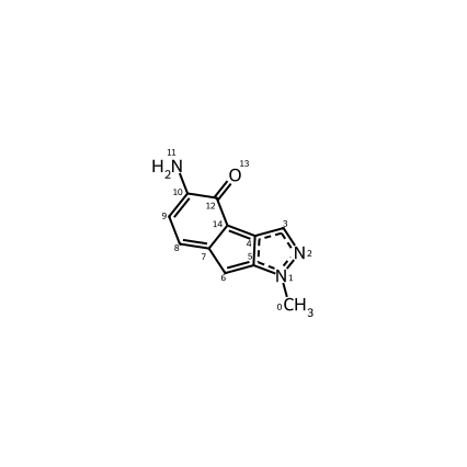 Cn1ncc2c1=CC1=CC=C(N)C(=O)C=21